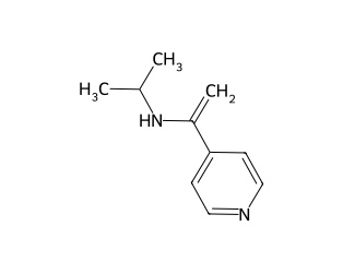 C=C(NC(C)C)c1ccncc1